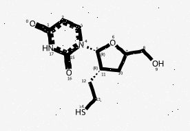 O=c1ccn([C@@H]2OC(CO)C[C@@H]2CCS)c(=O)[nH]1